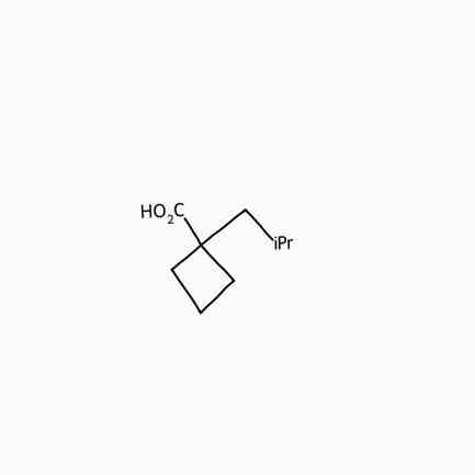 CC(C)CC1(C(=O)O)CCC1